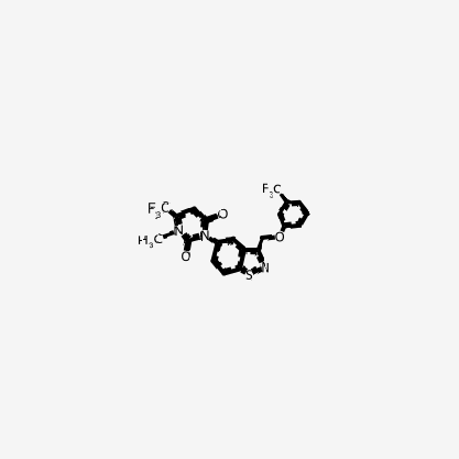 Cn1c(C(F)(F)F)cc(=O)n(-c2ccc3snc(COc4cccc(C(F)(F)F)c4)c3c2)c1=O